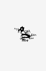 CC(=O)c1ccccc1O[C@@H]1OC(S(=O)(=O)O)[C@@H](O)[C@H](O)[C@H]1O